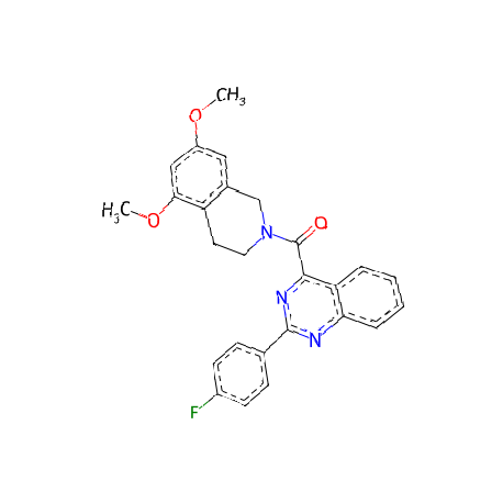 COc1cc2c(c(OC)c1)CCN(C(=O)c1nc(-c3ccc(F)cc3)nc3ccccc13)C2